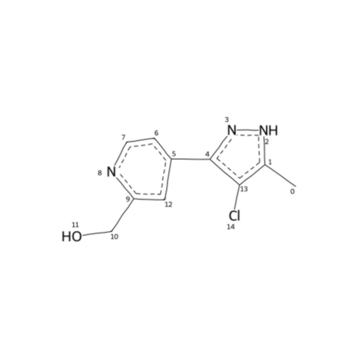 Cc1[nH]nc(-c2ccnc(CO)c2)c1Cl